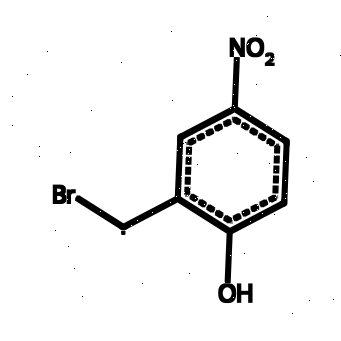 O=[N+]([O-])c1ccc(O)c([CH]Br)c1